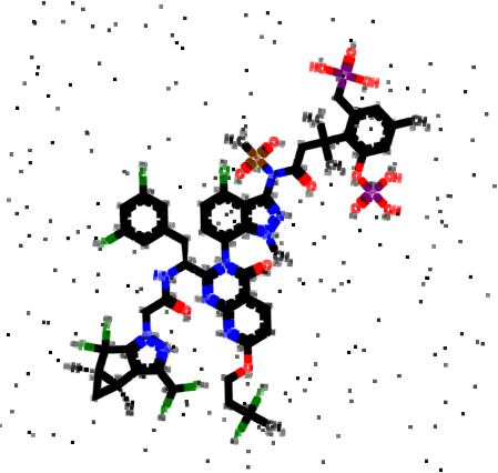 Cc1cc(CP(=O)(O)O)c(C(C)(C)CC(=O)N(c2nn(C)c3c(-n4c([C@H](Cc5cc(F)cc(F)c5)NC(=O)Cn5nc(C(F)F)c6c5C(F)(F)[C@@H]5C[C@H]65)nc5nc(OCCC(C)(F)F)ccc5c4=O)ccc(Cl)c23)S(C)(=O)=O)c(OP(=O)(O)O)c1